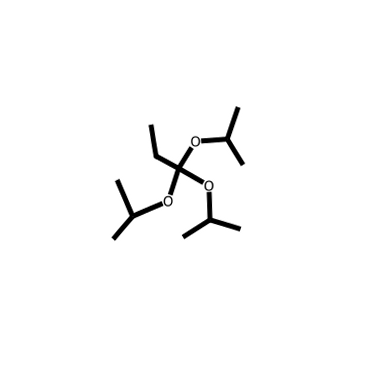 CCC(OC(C)C)(OC(C)C)OC(C)C